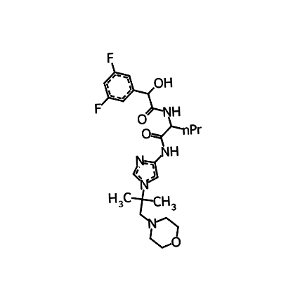 CCCC(NC(=O)C(O)c1cc(F)cc(F)c1)C(=O)Nc1cn(C(C)(C)CN2CCOCC2)cn1